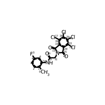 Cc1ccc(F)cc1NC(=O)CN1C(=O)c2c(Cl)c(Cl)c(Cl)c(Cl)c2C1=O